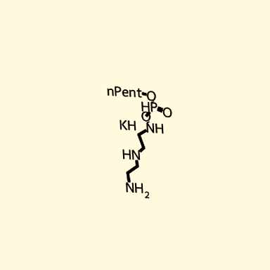 CCCCCO[PH](=O)ONCCNCCN.[KH]